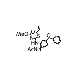 C=CCS/C(=N\C(=O)OC)Nc1cc(C(=O)c2ccccc2)ccc1NC(C)=O